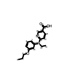 CCCOc1cccc(N(CC)c2ccc(C(=O)O)cn2)c1